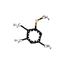 CSc1cc(C)[c]c(C)c1C